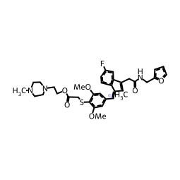 COc1cc(/C=C2/C(C)=C(CC(=O)NCc3ccco3)c3cc(F)ccc32)cc(OC)c1SCC(=O)OCCN1CCN(C)CC1